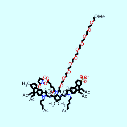 COCCOCCOCCOCCOCCOCCOCCOCCOCCOCCOCCN(C(=O)CCCC(=O)ON1C(=O)CCC1=O)C1=C(/C=C/C2=[N+](CCCCCC(C)=O)c3cc4c(cc3C2(C)C)-c2ccc(C)cc2C4(CCC(C)=O)CCC(C)=O)CC(C)(C)C/C1=C\C=C1\N(CCCCCC(C)=O)c2cc3c(cc2C1(C)C)-c1ccc(S(=O)(=O)[O-])cc1C3(CCC(C)=O)CCC(C)=O